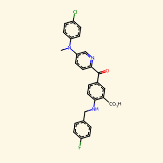 CN(c1ccc(Cl)cc1)c1ccc(C(=O)c2ccc(NCc3ccc(F)cc3)c(C(=O)O)c2)nc1